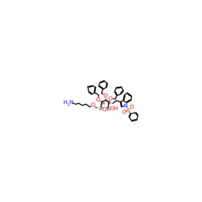 NCCCCCOC[C@H]1O[C@@H](O)[C@](CCc2cn(S(=O)(=O)c3ccccc3)c3ccccc23)(OCc2ccccc2)[C@@H](OCc2ccccc2)[C@@H]1OCc1ccccc1